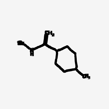 C=C(NC(C)(C)C)C1CCC(C)CC1